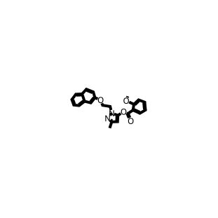 COc1ccccc1C(=O)Oc1cc(C)nn1CCOc1ccc2ccccc2c1